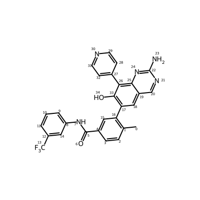 Cc1ccc(C(=O)Nc2cccc(C(F)(F)F)c2)cc1-c1cc2cnc(N)nc2c(-c2ccncc2)c1O